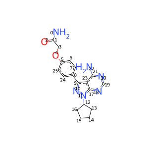 NC(=O)COc1ccc(-c2nn(C3CCCC3)c3ncnc(N)c23)cc1